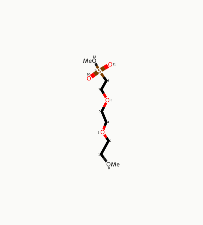 COCCOCCOCCS(=O)(=O)OC